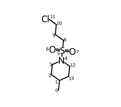 CC1CCN(S(=O)(=O)CCCCl)CC1